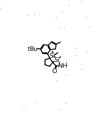 CC1=Cc2cc(C(C)(C)C)cc(C34CCCC3(C([NH])=O)[Si](C)(C)[Si]4(C)C)c2C1